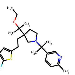 CCOC(C)(C)C1(CCc2ccc(F)s2)CCN(C(C)(C)c2ccc(C)nc2)C1